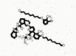 Cc1c(Br)cccc1OCCCCCCCCC=O.Cc1c(OCCCCCCCCC=O)cccc1-c1ccc(N2CCc3cccc(C(=O)Nc4nc5ccccc5s4)c3C2)nc1C(=O)OC(C)(C)C